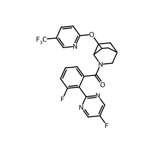 O=C(c1cccc(F)c1-c1ncc(F)cn1)N1CC2CCC1C(Oc1ccc(C(F)(F)F)cn1)C2